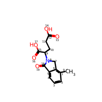 Cc1cccc2c1CN(C(CCC(=O)O)C(=O)O)C2=O